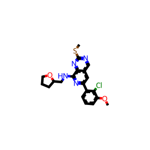 COc1cccc(-c2cc3cnc(SC)nc3c(NCC3CCCO3)n2)c1Cl